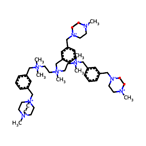 C[N+](C)(CC[N+](C)(CC[N+](C)(C)Cc1cccc(C[N+]23CC[N+](C)(CC2)CC3)c1)Cc1cccc(C[N+]23CC[N+](C)(CC2)CC3)c1)Cc1cccc(C[N+]23CC[N+](C)(CC2)CC3)c1